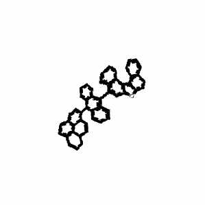 C1=Cc2ccc3ccc(-c4c5ccccc5c(-c5cc6oc7ccc8ccccc8c7c6c6ccccc56)c5ccccc45)c4c3c2C(C=C4)C1